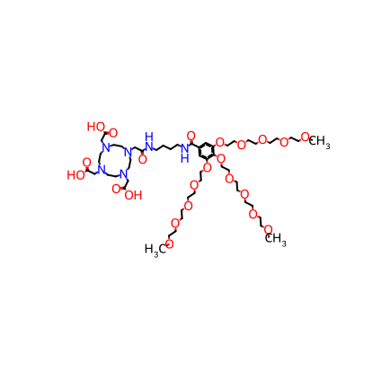 COCCOCCOCCOCCOc1cc(C(=O)NCCCCNC(=O)CN2CCN(CC(=O)O)CCN(CC(=O)O)CCN(CC(=O)O)CC2)cc(OCCOCCOCCOCCOC)c1OCCOCCOCCOCCOC